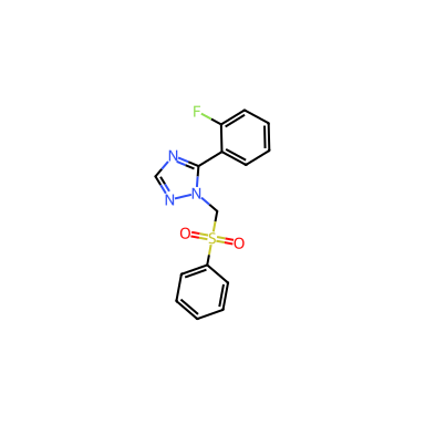 O=S(=O)(Cn1ncnc1-c1ccccc1F)c1ccccc1